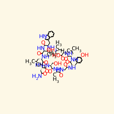 CC(C)C[C@H](NC(=O)[C@H](CC(C)C)NC(=O)[C@H](Cc1ccc(O)cc1)NC(=O)CNC(=O)[C@H](C)NC(=O)[C@H](CO)NC(=O)[C@H](CC(N)=O)NC(=O)[C@H](CC(C)C)NC(=O)[C@@H](NC(=O)[C@@H](N)Cc1c[nH]c2ccccc12)[C@@H](C)O)C(=O)O